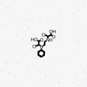 O=C(O)C(Cl)NCCN(c1ccccc1)C(Cl)C(=O)O